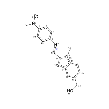 CCN(C)c1ccc(/N=N/c2sc3cc(CO)ccc3[n+]2C)cc1